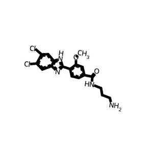 COc1cc(C(=O)NCCCN)ccc1-c1nc2cc(Cl)c(Cl)cc2[nH]1